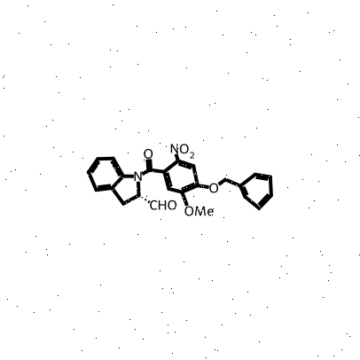 COc1cc(C(=O)N2c3ccccc3C[C@H]2C=O)c([N+](=O)[O-])cc1OCc1ccccc1